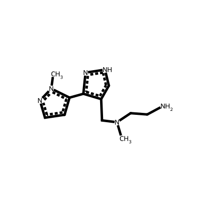 CN(CCN)Cc1c[nH]nc1-c1ccnn1C